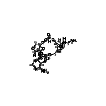 N=CN[C@@H]1O[C@@H]2CO[P@@](=O)(S)O[C@H]3[C@H]4OC[C@]3(CO[PH](=O)O[C@@H]1[C@@H]2O)O[C@H]4n1cnc2c(N)ncnc21